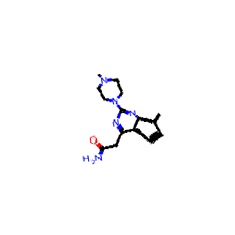 Cc1cccc2c(CC(N)=O)nc(N3CCN(C)CC3)nc12